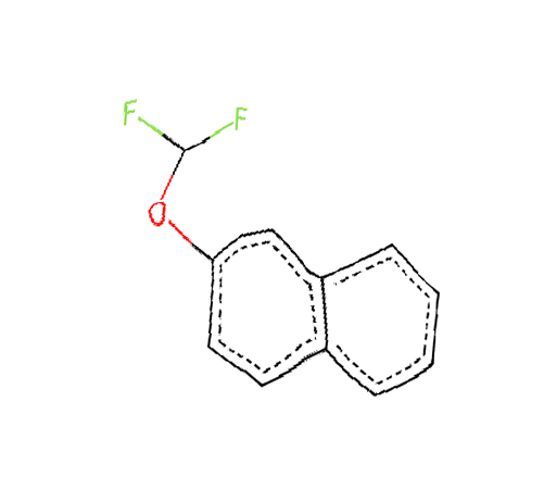 FC(F)Oc1ccc2ccccc2c1